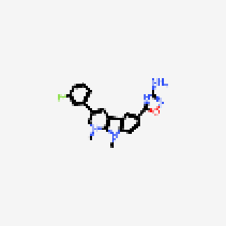 CN1CC(c2cccc(F)c2)=Cc2c1n(C)c1ccc(-c3nc(N)no3)cc21